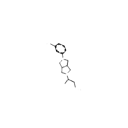 COCC(C)N1CC2CN(c3cccc(C(C)C)c3)CC2C1